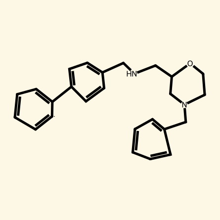 [c]1ccccc1-c1ccc(CNCC2CN(Cc3ccccc3)CCO2)cc1